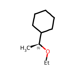 CCO[C@@H](C)C1CCCCC1